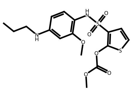 CCCNc1ccc(NS(=O)(=O)c2ccsc2OC(=O)OC)c(OC)c1